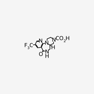 O=C1NC[C@H]2CN(C(=O)O)CCN2c2ncc(C(F)(F)F)cc21